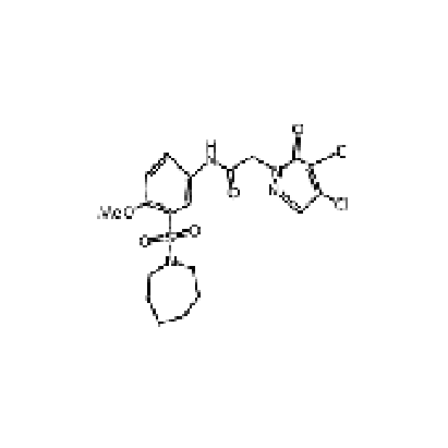 COc1ccc(NC(=O)Cn2ncc(Cl)c(Cl)c2=O)cc1S(=O)(=O)N1CCCCCC1